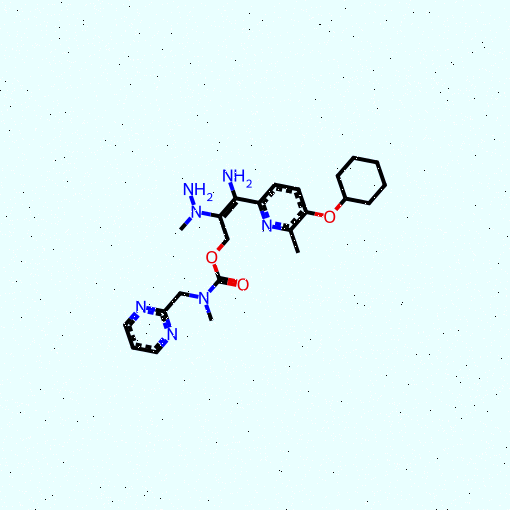 Cc1nc(/C(N)=C(\COC(=O)N(C)Cc2ncccn2)N(C)N)ccc1OC1CCCCC1